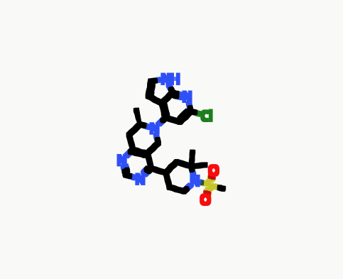 C[C@@H]1Cc2ncnc(C3CCN(S(C)(=O)=O)C(C)(C)C3)c2CN1c1cc(Cl)nc2[nH]ccc12